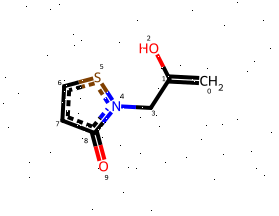 C=C(O)Cn1sccc1=O